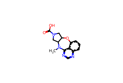 CN1c2ncnc3cccc(c23)OC2CN(C(=O)O)CC21